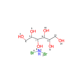 BrNBr.OCC(O)C(O)C(O)C(O)CO